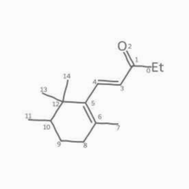 CCC(=O)C=CC1=C(C)CCC(C)C1(C)C